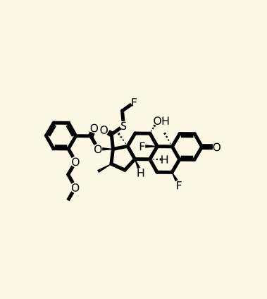 COCOc1ccccc1C(=O)O[C@]1(C(=O)SCF)[C@H](C)C[C@H]2[C@@H]3C[C@H](F)C4=CC(=O)C=C[C@]4(C)[C@@]3(F)[C@@H](O)C[C@@]21C